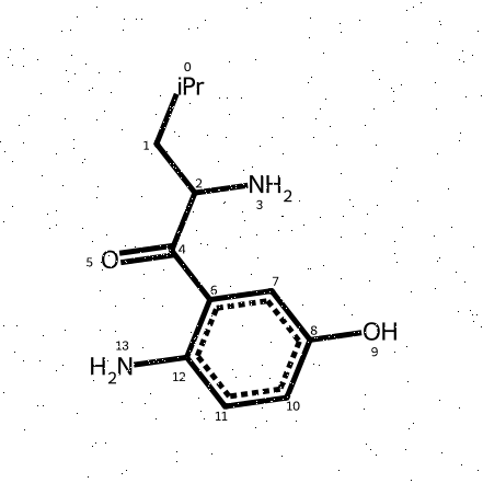 CC(C)CC(N)C(=O)c1cc(O)ccc1N